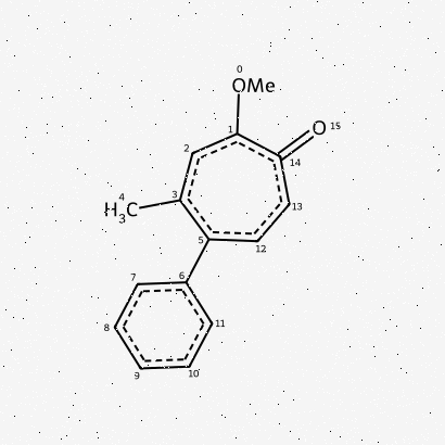 COc1cc(C)c(-c2ccccc2)ccc1=O